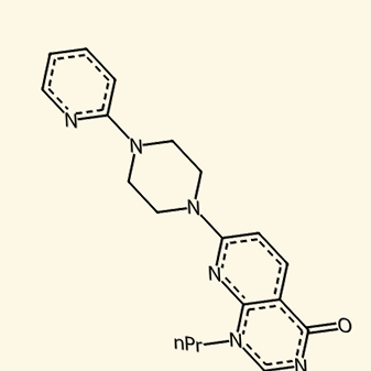 CCCn1cnc(=O)c2ccc(N3CCN(c4ccccn4)CC3)nc21